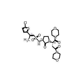 C/C(=C\S(=O)(=O)N[C@H]1CCN([C@@H](CC(=O)N2CCOCC2)C(=O)N2CCOCC2)C1=O)c1ccc(Cl)s1